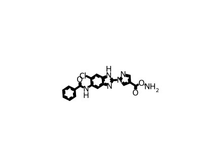 NOC(=O)c1cnn(-c2nc3cc(NC(=O)c4ccccc4)c(Cl)cc3[nH]2)c1